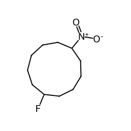 O=[N+]([O-])C1CCCCCC(F)CCCC1